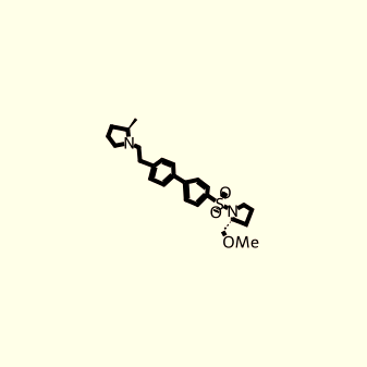 COC[C@H]1CCCN1S(=O)(=O)c1ccc(-c2ccc(CCN3CCC[C@H]3C)cc2)cc1